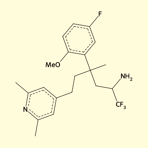 COc1ccc(F)cc1C(C)(CCc1cc(C)nc(C)c1)CC(N)C(F)(F)F